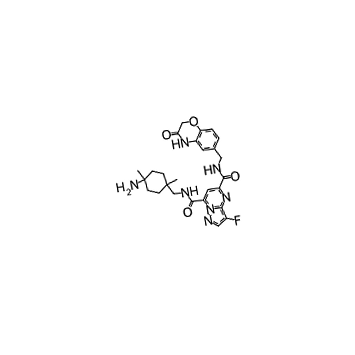 CC1(N)CCC(C)(CNC(=O)c2cc(C(=O)NCc3ccc4c(c3)NC(=O)CO4)nc3c(F)cnn23)CC1